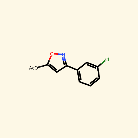 CC(=O)Oc1cc(-c2cccc(Cl)c2)no1